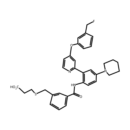 O=C(O)CCSCc1cccc(C(=O)Nc2ccc(N3CCCCC3)cc2-c2cc(Oc3cccc(CF)c3)ccn2)c1